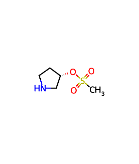 CS(=O)(=O)O[C@H]1CCNC1